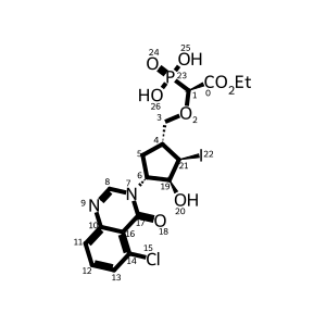 CCOC(=O)[C@@H](OC[C@H]1C[C@@H](n2cnc3cccc(Cl)c3c2=O)[C@H](O)[C@@H]1I)P(=O)(O)O